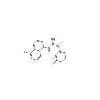 Cc1cccc(N(C)C(=N)Nc2cccc3c(F)cccc23)c1